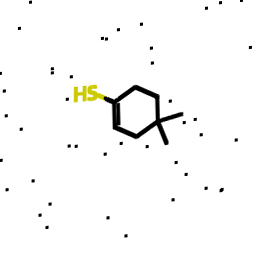 CC1(C)CC=C(S)CC1